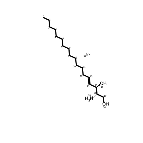 CCCCCCCCCCCCC/C=C/[C@@H](O)[C@@H](N)CO.[Ir]